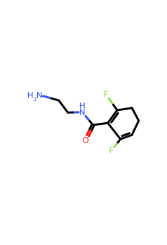 NCCNC(=O)C1=C(F)CCC=C1F